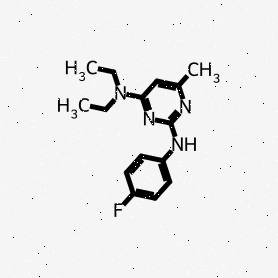 CCN(CC)c1cc(C)nc(Nc2ccc(F)cc2)n1